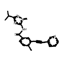 Cc1ccc(C(=O)Nc2nc(C(C)C)nn2C)cc1C#Cc1cccnc1